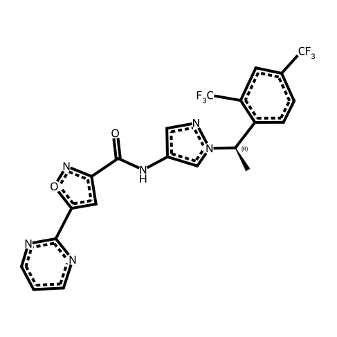 C[C@H](c1ccc(C(F)(F)F)cc1C(F)(F)F)n1cc(NC(=O)c2cc(-c3ncccn3)on2)cn1